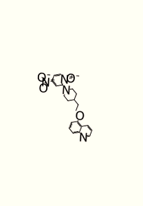 O=[N+]([O-])c1cc[n+]([O-])c(N2CCC(CCOc3cccc4ncccc34)CC2)c1